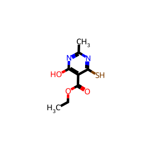 CCOC(=O)c1c(O)nc(C)nc1S